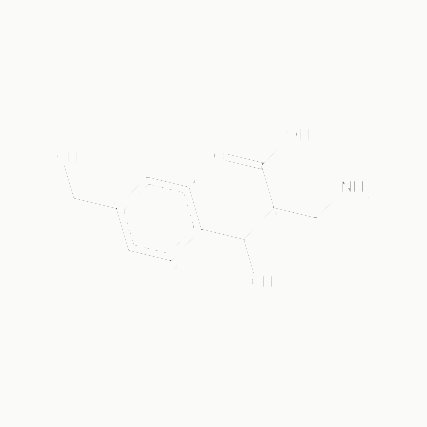 CCc1ccc(C(C)C(CN)C(=O)O)cc1